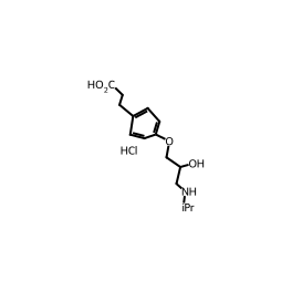 CC(C)NCC(O)COc1ccc(CCC(=O)O)cc1.Cl